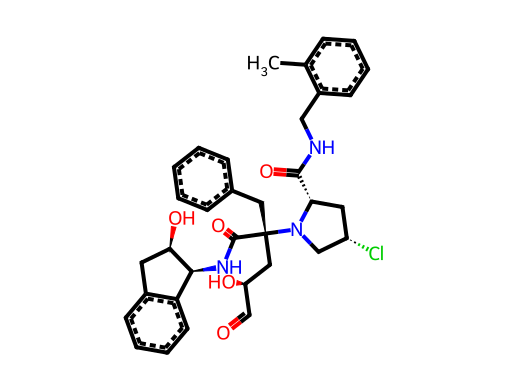 Cc1ccccc1CNC(=O)[C@@H]1C[C@H](Cl)CN1[C@](Cc1ccccc1)(C[C@H](O)C=O)C(=O)N[C@H]1c2ccccc2C[C@H]1O